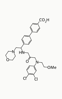 COCCN(CC(=O)CNC(CN1CCOCC1)c1ccc(-c2ccc(C(=O)O)cc2)cc1)c1ccc(Cl)c(Cl)c1